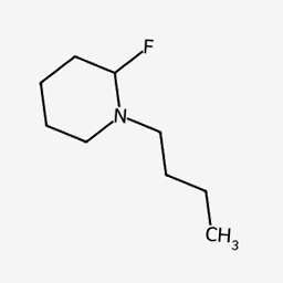 CCCCN1CCCCC1F